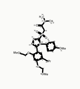 COCOc1cc(OCOC)c(C(C)C)cc1-c1nnc(S(=O)(=O)CC(=O)N(C)C)n1-c1ccc(OC)cc1